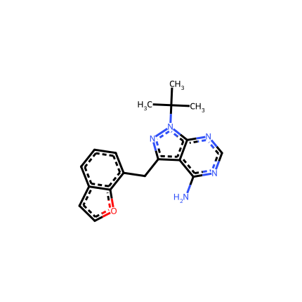 CC(C)(C)n1nc(Cc2cccc3ccoc23)c2c(N)ncnc21